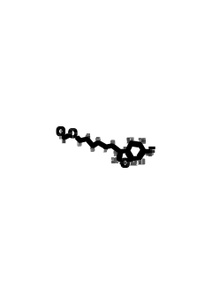 O=[C]OCCCCCCc1coc2cc(F)ccc12